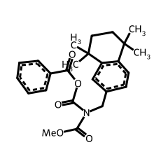 COC(=O)N(Cc1ccc2c(c1)C(C)(C)CCC2(C)C)C(=O)OC(=O)c1ccccc1